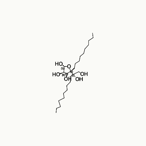 CCCCCCCCCC[C@](O)(CO)[C@@]1(CCCCCCCCCC)O[C@H](O)[C@H](O)[C@@H]1O